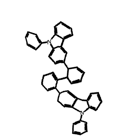 C1=CC(C2=CCCC=C2C2C=c3c(n(-c4ccccc4)c4ccccc34)=CC2)C(c2ccc3c(c2)c2ccccc2n3-c2ccccc2)C=C1